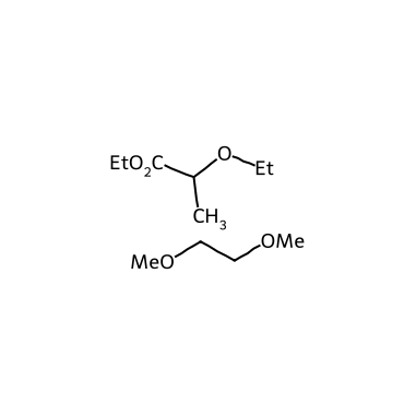 CCOC(=O)C(C)OCC.COCCOC